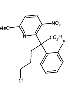 COc1ccc([N+](=O)[O-])c(C(CCCCl)(C(=O)O)c2ccccc2F)n1